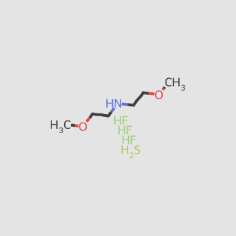 COCCNCCOC.F.F.F.S